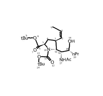 C/C=C\[C@@H]1C[C@H](C(=O)OC(C)(C)C)N(C(=O)OC(C)(C)C)[C@H]1[C@@H](NC(C)=O)[C@H](O)CCC